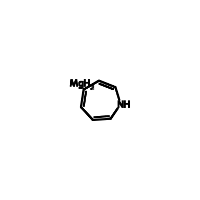 C1=CC=CNC=C1.[MgH2]